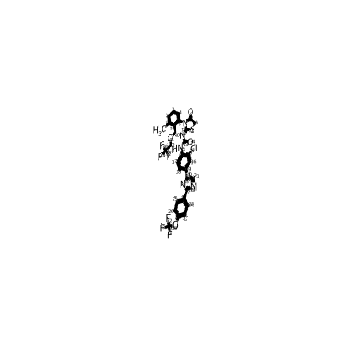 Cc1cccc(N2C(=O)CS/C2=N\C(=O)Nc2ccc(-n3cnc(-c4ccc(OC(F)(F)F)cc4)n3)cc2Cl)c1COCC(F)(F)F